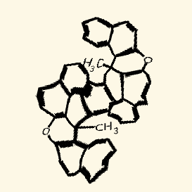 CC1(c2ccc(C3(C)c4c(ccc5ccccc45)Oc4ccc5ccccc5c43)cc2)c2c(ccc3ccccc23)Oc2ccc3ccccc3c21